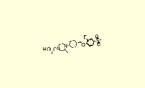 CC1CN(C(=O)O)CCN1[C@H]1CC[C@H](COc2ccc(S(C)(=O)=O)cc2F)CC1